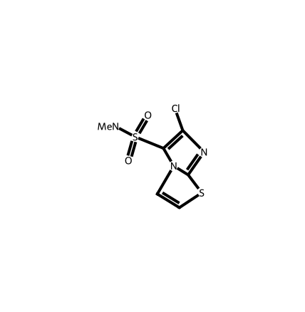 CNS(=O)(=O)c1c(Cl)nc2sccn12